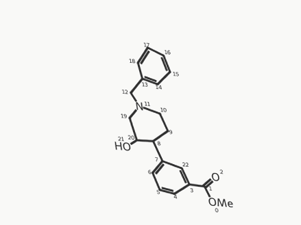 COC(=O)c1cccc(C2CCN(Cc3ccccc3)CC2O)c1